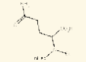 CCCCCCN(CC)C(CCC(N)=O)C(=O)O